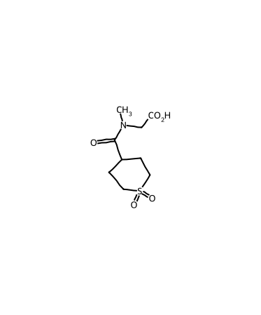 CN(CC(=O)O)C(=O)C1CCS(=O)(=O)CC1